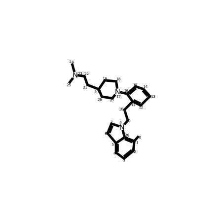 Cc1cccc2ccn(CCc3ccccc3N3CCC(CCN(C)C)CC3)c12